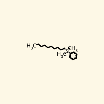 CCCCCCCCC[CH][Si](C)(C)c1ccccc1